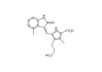 CCOC(=O)c1[nH]c(C=C2C(=O)Nc3cccc(C)c32)c(CCC(=O)O)c1C